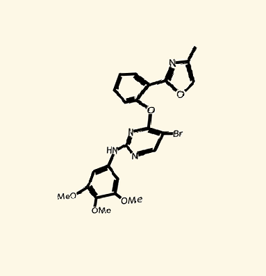 COc1cc(Nc2ncc(Br)c(Oc3ccccc3-c3nc(C)co3)n2)cc(OC)c1OC